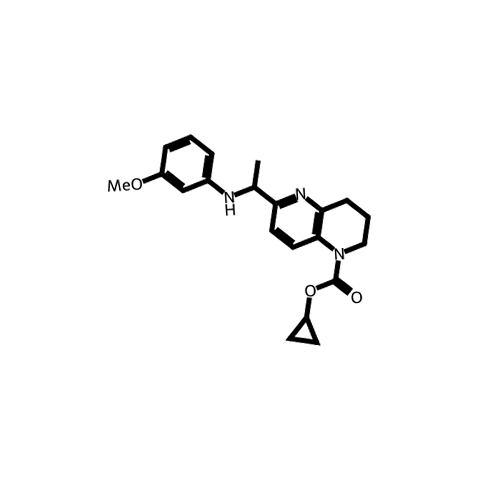 COc1cccc(NC(C)c2ccc3c(n2)CCCN3C(=O)OC2CC2)c1